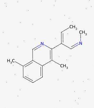 C/C=C(\C=N/C)c1ncc2c(C)cccc2c1C